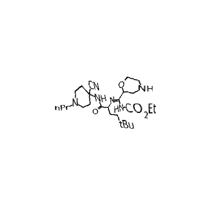 CCCN1CCC(C#N)(NC(=O)C(CCC(C)(C)C)N=C(NC(=O)OCC)C2CNCCO2)CC1